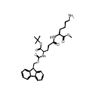 COC(=O)C(CCCCN)NC(=O)CCC(NC(=O)OCC1c2ccccc2-c2ccccc21)C(=O)OC(C)(C)C